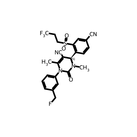 CC1=C(C#N)[C@@H](c2ccc(C#N)cc2S(=O)(=O)CCC(F)(F)F)N(C)C(=O)N1c1cccc(CF)c1